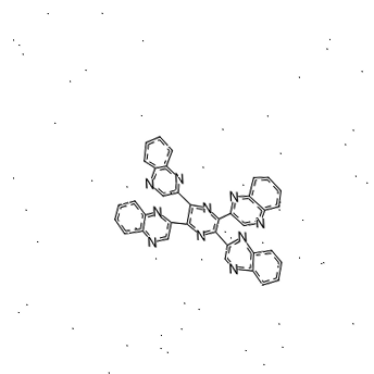 c1ccc2nc(-c3nc(-c4cnc5ccccc5n4)c(-c4cnc5ccccc5n4)nc3-c3cnc4ccccc4n3)cnc2c1